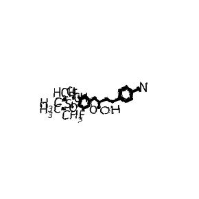 CC(C)[Si](Oc1c(F)cc(CC(CCc2ccc(C#N)cc2)C(=O)O)cc1F)(C(C)C)C(C)C